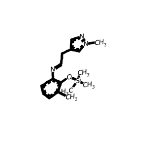 Cc1cccc(N=CCc2cnn(C)c2)c1O[Si](C)(C)C